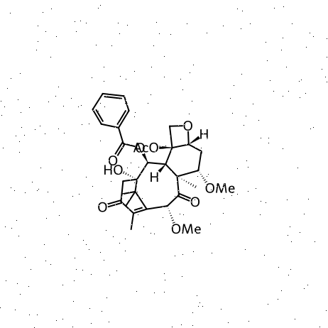 CO[C@H]1C(=O)[C@]2(C)[C@@H](OC)C[C@H]3OC[C@@]3(OC(C)=O)[C@H]2[C@H](OC(=O)c2ccccc2)[C@]2(O)CC(=O)C(C)=C1C2(C)C